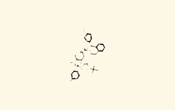 CS[C@H]1CO[C@@H](C(=O)N2CCc3ccccc3[C@@H]2c2ccc(F)cc2)C[C@@H]1N(C(=O)OC(C)(C)C)S(=O)(=O)c1ccc(C)cc1